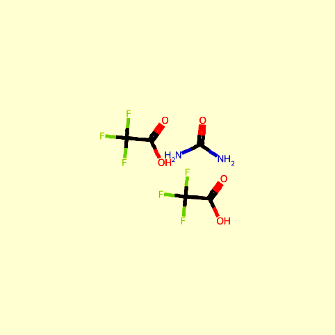 NC(N)=O.O=C(O)C(F)(F)F.O=C(O)C(F)(F)F